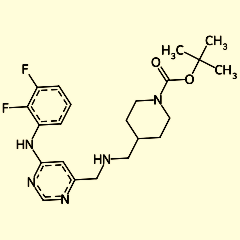 CC(C)(C)OC(=O)N1CCC(CNCc2cc(Nc3cccc(F)c3F)ncn2)CC1